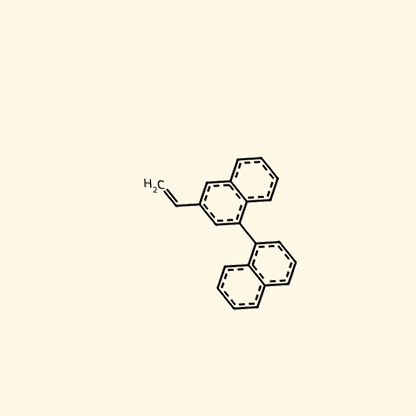 C=Cc1cc(-c2cccc3ccccc23)c2ccccc2c1